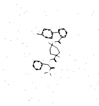 CCCCN(C)C(=O)[C@@H](NC(=O)C1(C)CCC(C)(NC(=O)c2ccccc2-c2ccc(C(C)C)cc2)CC1)c1ccccc1